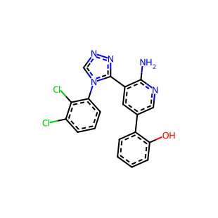 Nc1ncc(-c2ccccc2O)cc1-c1nncn1-c1cccc(Cl)c1Cl